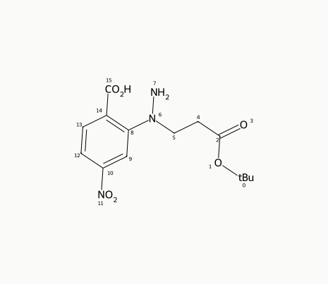 CC(C)(C)OC(=O)CCN(N)c1cc([N+](=O)[O-])ccc1C(=O)O